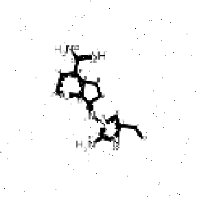 CCc1cn(/N=C2\CCc3c(C(=N)N)cccc32)c(N)n1